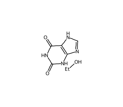 CCO.O=c1[nH]c(=O)c2[nH]cnc2[nH]1